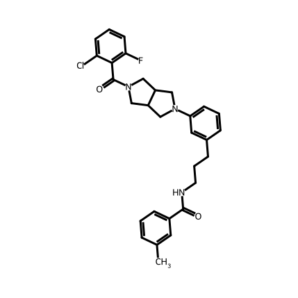 Cc1cccc(C(=O)NCCCc2cccc(N3CC4CN(C(=O)c5c(F)cccc5Cl)CC4C3)c2)c1